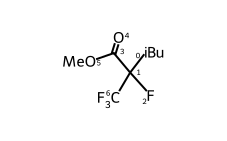 CCC(C)C(F)(C(=O)OC)C(F)(F)F